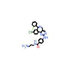 NCCCNC(=O)c1ccc(Nc2ncc3c(n2)-c2ccc(Cl)cc2C(C2=CC=CCC2F)=NC3)cc1